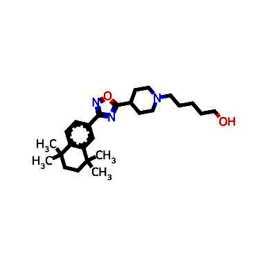 CC1(C)CCC(C)(C)c2cc(-c3noc(C4CCN(CCCCCO)CC4)n3)ccc21